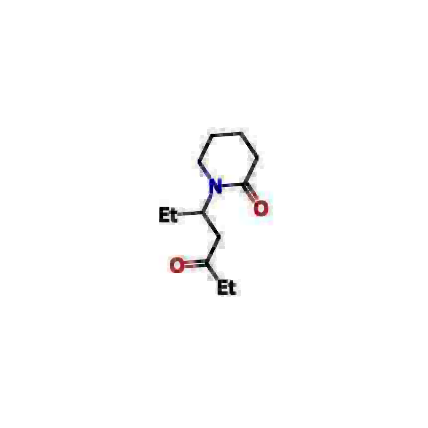 CCC(=O)CC(CC)N1CCCCC1=O